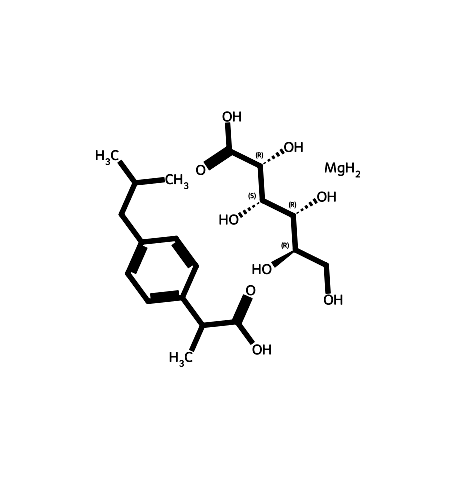 CC(C)Cc1ccc(C(C)C(=O)O)cc1.O=C(O)[C@H](O)[C@@H](O)[C@H](O)[C@H](O)CO.[MgH2]